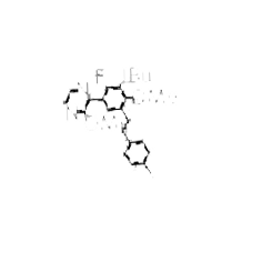 COc1nccnc1-c1cc(CCc2ccc(C)cc2)c(OC)c(C(C)(C)C)c1F